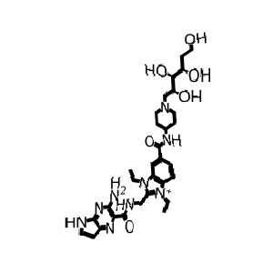 CCn1c(CNC(=O)c2nc3cc[nH]c3nc2N)[n+](CC)c2ccc(C(=O)NC3CCN(C[C@H](O)[C@@H](O)[C@H](O)CCO)CC3)cc21